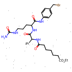 CCOC(=O)CCCCCC(=O)NC(C(=O)NC(CCCNC(N)=O)C(=O)Nc1ccc(CBr)cc1)C(C)C